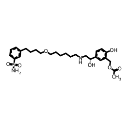 CC(=O)OCc1cc([C@H](O)CNCCCCCCOCCCCc2cccc(S(N)(=O)=O)c2)ccc1O